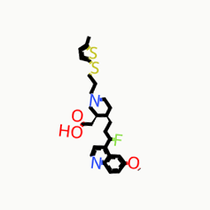 COc1ccc2nccc(C(F)CC[C@@H]3CCN(CCCSc4ccc(C)s4)C[C@@H]3CC(=O)O)c2c1